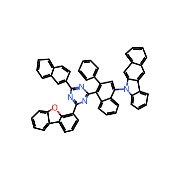 c1ccc(-c2cc(-n3c4ccccc4c4cc5ccccc5cc43)c3ccccc3c2-c2nc(-c3ccc4ccccc4c3)nc(-c3cccc4c3oc3ccccc34)n2)cc1